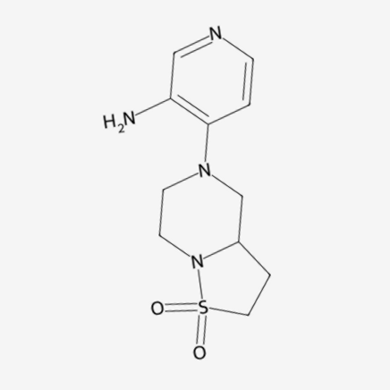 Nc1cnccc1N1CCN2C(CCS2(=O)=O)C1